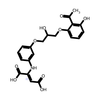 CC(=O)c1c(O)cccc1OCC(O)COc1cccc(N/C(=C\C(=O)O)C(=O)O)c1